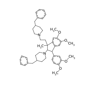 COc1ccc(C2c3cc(OC)c(OC)cc3C(C)(CCN3CCC(Cc4ccccc4)CC3)C2N2CCC(Cc3ccccc3)CC2)cc1OC